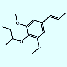 C/C=C/c1cc(OC)c(OC(C)CC)c(OC)c1